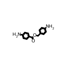 Nc1ccc(COC(=O)c2ccc(N)cc2)cc1